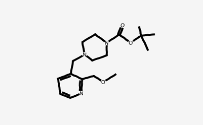 COCc1ncccc1CN1CCN(C(=O)OC(C)(C)C)CC1